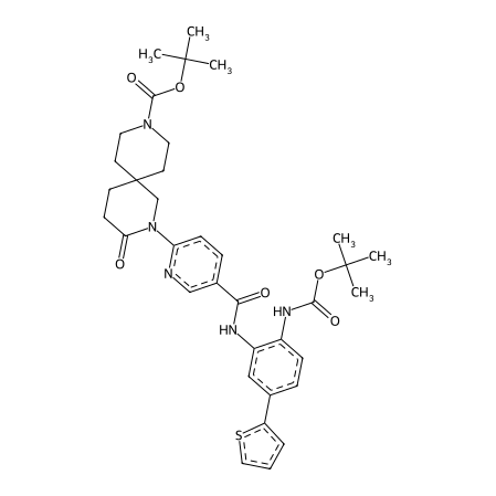 CC(C)(C)OC(=O)Nc1ccc(-c2cccs2)cc1NC(=O)c1ccc(N2CC3(CCC2=O)CCN(C(=O)OC(C)(C)C)CC3)nc1